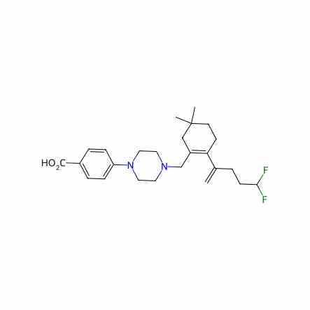 C=C(CCC(F)F)C1=C(CN2CCN(c3ccc(C(=O)O)cc3)CC2)CC(C)(C)CC1